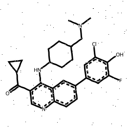 CN(C)CC1CCC(Nc2c(C(=O)C3CC3)cnc3ccc(-c4cc(F)c(O)c(Cl)c4)cc23)CC1